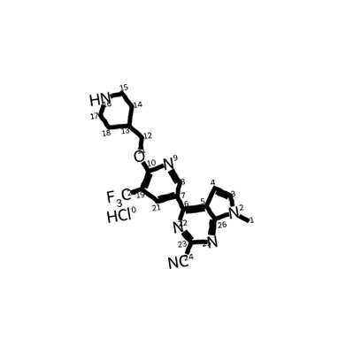 Cl.Cn1ccc2c(-c3cnc(OCC4CCNCC4)c(C(F)(F)F)c3)nc(C#N)nc21